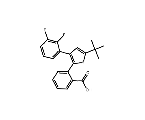 CC(C)(C)c1cc(-c2cccc(F)c2F)c(-c2ccccc2C(=O)O)s1